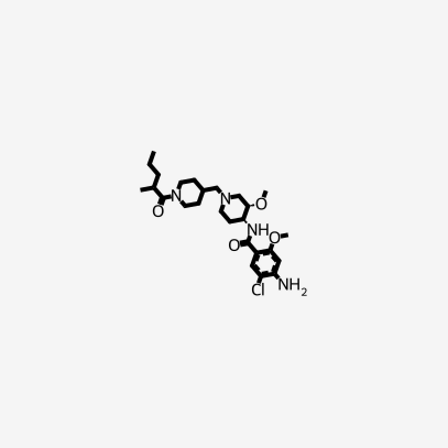 CCCC(C)C(=O)N1CCC(CN2CC[C@@H](NC(=O)c3cc(Cl)c(N)cc3OC)[C@@H](OC)C2)CC1